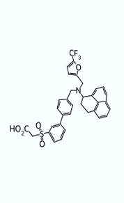 O=C(O)CS(=O)(=O)c1cccc(-c2ccc(CN(Cc3ccc(C(F)(F)F)o3)C3CCc4cccc5cccc3c45)cc2)c1